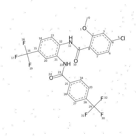 COc1cc(Cl)ccc1C(=O)Nc1ccc(C(F)(F)F)cc1NC(=O)c1ccc(C(F)(F)F)cc1